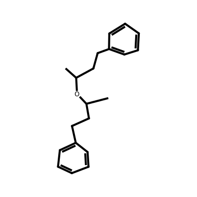 CC(CCc1ccccc1)OC(C)CCc1ccccc1